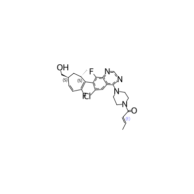 C/C=C/C(=O)N1CCN(c2ncnc3c(F)c(C4=C(F)C=C[C@@H](CO)C[C@@H]4C)c(Cl)cc23)CC1